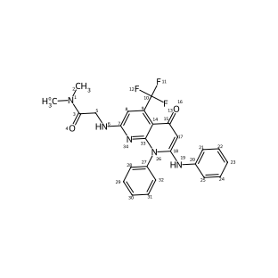 CN(C)C(=O)CNc1cc(C(F)(F)F)c2c(=O)cc(Nc3ccccc3)n(-c3ccccc3)c2n1